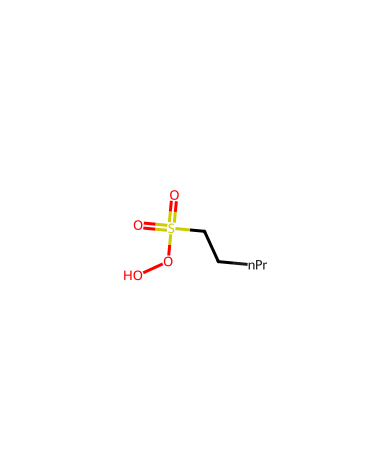 CCCCCS(=O)(=O)OO